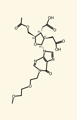 COCCOCCn1cnc2c(ncn2[C@@H]2O[C@@H](COC(C)=O)[C@H](CC(=O)O)[C@H]2CC(=O)O)c1=O